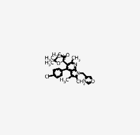 CC(=O)[C@@H](OC(C)(C)C)c1c(C)nc2c(c(C)c(C)n2Cc2cocn2)c1-c1ccc(Cl)cc1